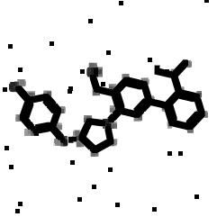 CC(C)c1ccccc1-c1ccc(CO)c(N2CC[C@H](Sc3ccc(Cl)cn3)C2)c1